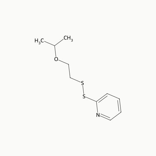 CC(C)OCCSSc1ccccn1